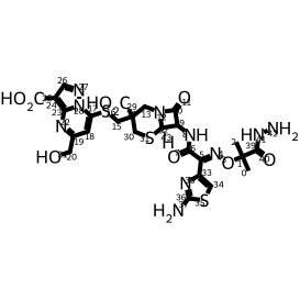 CC(C)(ON=C(C(=O)NC1C(=O)N2CC(CSc3cc(CO)nc4c(C(=O)O)cnn34)(C(=O)O)CS[C@H]12)c1csc(N)n1)C(=O)NN